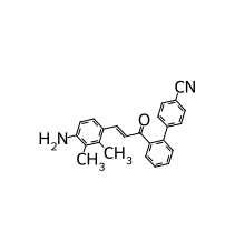 Cc1c(N)ccc(C=CC(=O)c2ccccc2-c2ccc(C#N)cc2)c1C